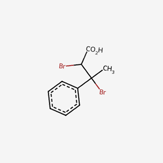 CC(Br)(c1ccccc1)C(Br)C(=O)O